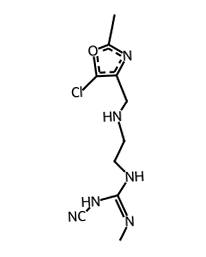 C/N=C(\NC#N)NCCNCc1nc(C)oc1Cl